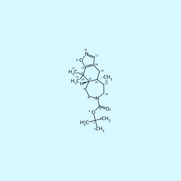 CC(C)(C)OC(=O)N1CC[C@@H]2C(C)(C)c3oncc3C[C@@]2(C)CC1